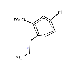 COc1cc(Cl)ccc1/C=C/C#N